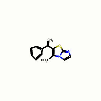 C=C(c1ccccc1)c1sc2nccn2c1C(=O)O